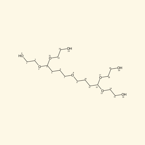 OCCOC(CCCOCCCC(OCCO)OCCO)OCCO